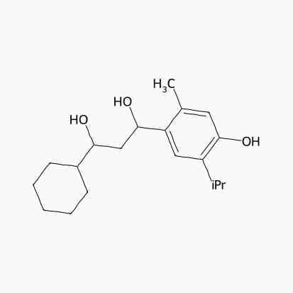 Cc1cc(O)c(C(C)C)cc1C(O)CC(O)C1CCCCC1